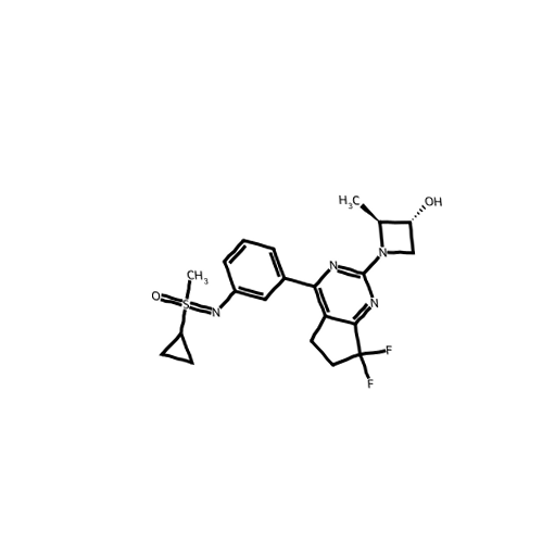 C[C@H]1[C@H](O)CN1c1nc(-c2cccc(N=S(C)(=O)C3CC3)c2)c2c(n1)C(F)(F)CC2